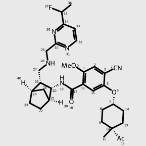 COc1cc(C#N)c(O[C@H]2CC[C@@](C)(C(C)=O)CC2)cc1C(=O)N[C@@H]1[C@H]2CC[C@H](C2)[C@@H]1CNCc1nccc(C(C)F)n1